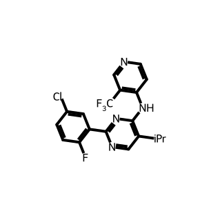 CC(C)c1cnc(-c2cc(Cl)ccc2F)nc1Nc1ccncc1C(F)(F)F